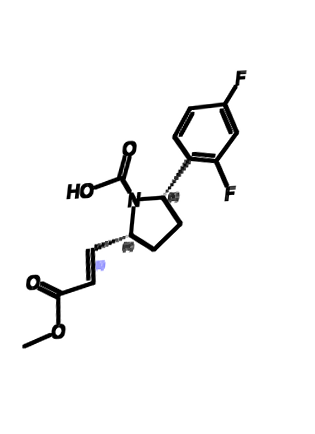 COC(=O)/C=C/[C@H]1CC[C@@H](c2ccc(F)cc2F)N1C(=O)O